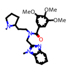 COc1cc(C(=O)N(CCC2CCCN2C)Cc2nc3ccccc3n2C)cc(OC)c1OC